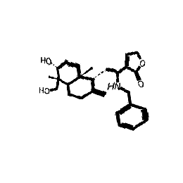 C=C1CCC2[C@](C)(CO)[C@H](O)CC[C@]2(C)[C@@H]1CC(NCc1ccccc1)C1=CCOC1=O